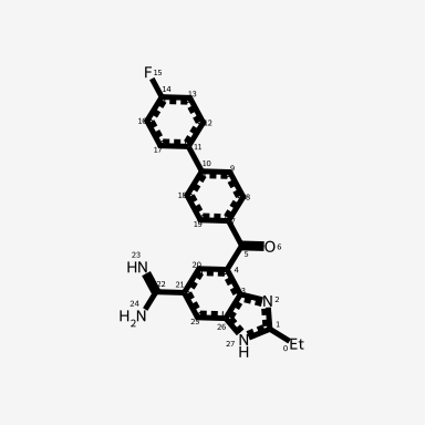 CCc1nc2c(C(=O)c3ccc(-c4ccc(F)cc4)cc3)cc(C(=N)N)cc2[nH]1